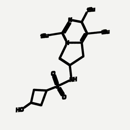 CC(C)(C)C1=NC(C(C)(C)C)C(C(C)(C)C)=C2CC(NS(=O)(=O)C3CC(O)C3)CN12